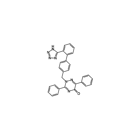 O=c1nc(-c2ccccc2)n(Cc2ccc(-c3ccccc3-c3nnn[nH]3)cc2)nc1-c1ccccc1